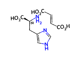 N[C@@H](Cc1c[nH]cn1)C(=O)O.O=C(O)C=CC(=O)O